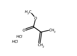 C=C(C)C(=O)OC.Cl.Cl